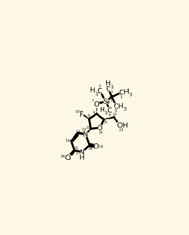 CC(C)(C)[Si](C)(C)O[C@H]1[C@H](F)[C@H](n2ccc(=O)[nH]c2=O)O[C@@H]1CO